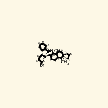 C[C@H]1C2CCc3c(nc(-c4ccccc4)n3-c3cccc(Br)c3)[C@@]2(C)CCC12OCCO2